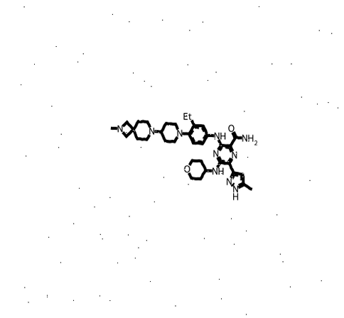 CCc1cc(Nc2nc(NC3CCOCC3)c(-c3cc(C)[nH]n3)nc2C(N)=O)ccc1N1CCC(N2CCC3(CC2)CN(C)C3)CC1